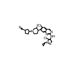 N#CC1CCC(N2CCC(c3cc4nc(Nc5cnn(C6CC6)c5Cl)ncc4cc3Cl)C(F)C2)C1